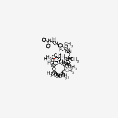 CC[C@H]1OC(=O)[C@H](C)[C@@H](C2C[C@@](C)(OC)[C@@H](O)[C@H](C)O2)[C@H](C)[C@@H](O[C@@H]2O[C@H](C)C[C@H](N(C)CCc3cn([C@H](CF)[C@H](OC)c4ccc(N5CC6[C@@H](C5)[C@@H]6N=C(c5ccccc5)c5ccccc5)cc4)nn3)[C@H]2O)[C@](C)(O)C[C@@H](C)CN(C)[C@H](C)[C@@H](O)[C@]1(C)O